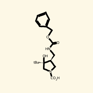 CC(C)(C)[C@@]1(O)CN(C(=O)O)C[C@@H]1CNC(=O)OCc1ccccc1